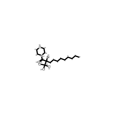 CCCCCCCCCC(Br)(C(=O)N1CCOCC1)C(Cl)(Cl)Cl